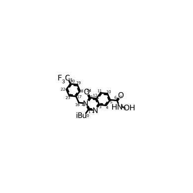 CCC(C)c1nc2cc(C(=O)NO)ccc2c(=O)n1Cc1ccc(C(F)(F)F)cc1